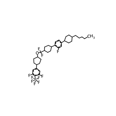 CCCCCC1CCC(c2ccc(C3CCC(C(F)(F)OC4CCC(c5cc(F)c(S(F)(F)(F)(F)F)c(F)c5)CC4)CC3)c(F)c2)CC1